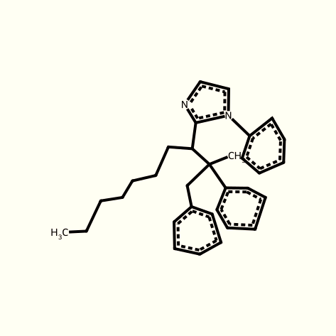 CCCCCCCC(c1nccn1-c1ccccc1)C(C)(Cc1ccccc1)c1ccccc1